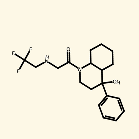 O=C(CNCC(F)(F)F)N1CCC(O)(c2ccccc2)C2CCCCC21